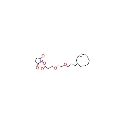 O=C(CCOCCOCCCC1CCCCCCCCC1)ON1C(=O)CCC1=O